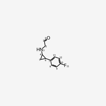 O=[C]CNC1CC1c1ccc(F)cc1